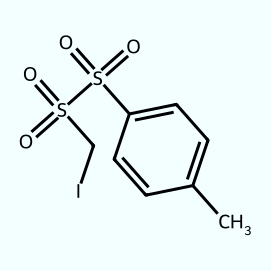 Cc1ccc(S(=O)(=O)S(=O)(=O)CI)cc1